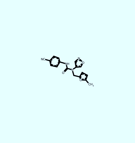 Cc1ccc(CN(C(=O)Nc2ccc(C#N)cc2)c2cnoc2)o1